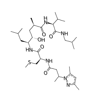 CSC[C@H](NC(=O)CC(C)n1nc(C)cc1C)C(=O)N[C@@H](CC(C)C)[C@@H](O)C[C@@H](C)C(=O)N[C@H](C(=O)NCC(C)C)C(C)C